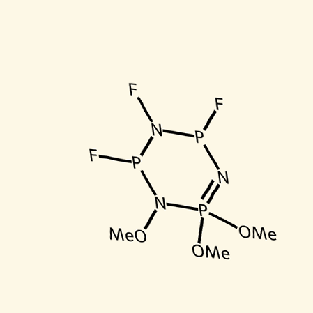 CON1P(F)N(F)P(F)N=P1(OC)OC